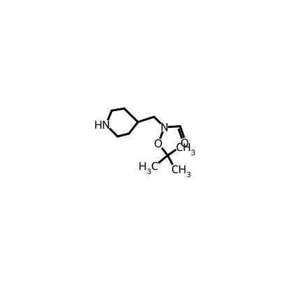 CC(C)(C)ON(C=O)CC1CCNCC1